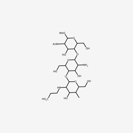 COC1OC(CO)C(OC2OC(CO)C(OC3OC(CO)C(C)C(O)C3NCCC(=O)O)C(O)C2N)C(O)C1NC(C)=O